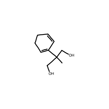 CC(CO)(CO)C1=CCCC=C1